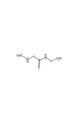 CC(=O)OCNC(=O)CNC=O